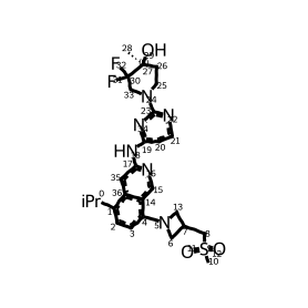 CC(C)c1ccc(N2CC(CS(C)(=O)=O)C2)c2cnc(Nc3ccnc(N4CC[C@](C)(O)C(F)(F)C4)n3)cc12